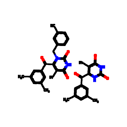 Cc1cc(C)cc(C(=O)c2[nH]c(=O)[nH]c(=O)c2C(C)C)c1.Cc1cc(C)cc(C(=O)c2c(C(C)C)c(=O)[nH]c(=O)n2Cc2cccc(C#N)c2)c1